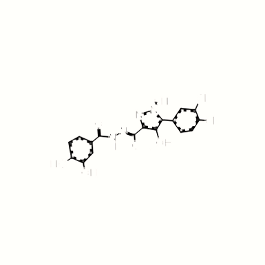 C/C(=N\NC(=O)c1ccc(O)c(O)c1)c1nn(C)c(-c2ccc(Cl)c(Cl)c2)c1O